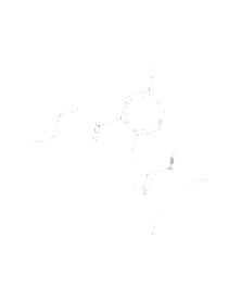 CCC(C)OC(=O)c1cc(Cl)ccc1O/C(=C/OC)C(=O)OC